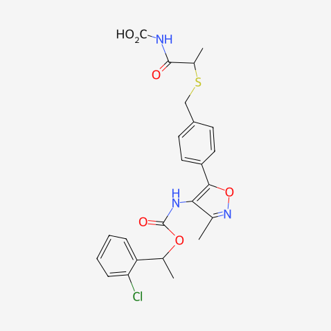 Cc1noc(-c2ccc(CSC(C)C(=O)NC(=O)O)cc2)c1NC(=O)OC(C)c1ccccc1Cl